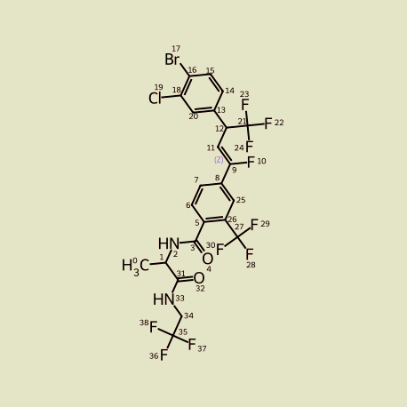 CC(NC(=O)c1ccc(/C(F)=C/C(c2ccc(Br)c(Cl)c2)C(F)(F)F)cc1C(F)(F)F)C(=O)NCC(F)(F)F